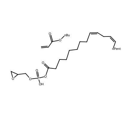 C=CC(=O)OCCCC.CCCCC/C=C\C/C=C\CCCCCCCC(=O)OP(=O)(O)OCC1CO1